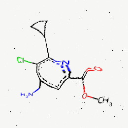 COC(=O)c1cc(N)c(Cl)c(C2CC2)n1